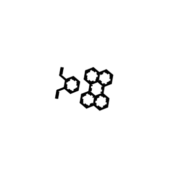 C=Cc1ccccc1C=C.c1cc2cccc3c4cccc5cccc(c(c1)c23)c54